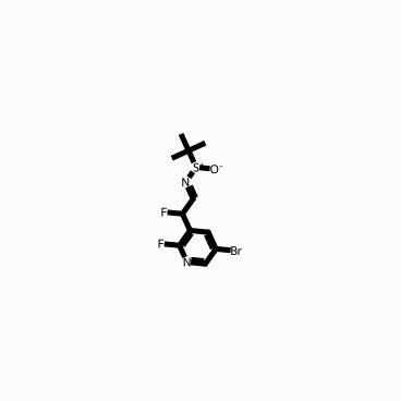 CC(C)(C)[S+]([O-])/N=C/C(F)c1cc(Br)cnc1F